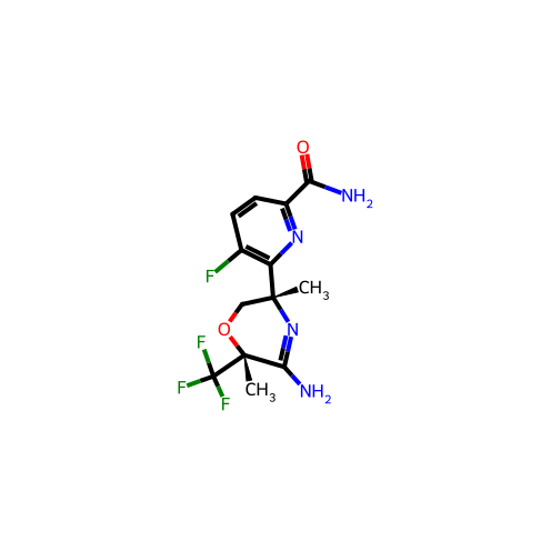 C[C@]1(c2nc(C(N)=O)ccc2F)CO[C@@](C)(C(F)(F)F)C(N)=N1